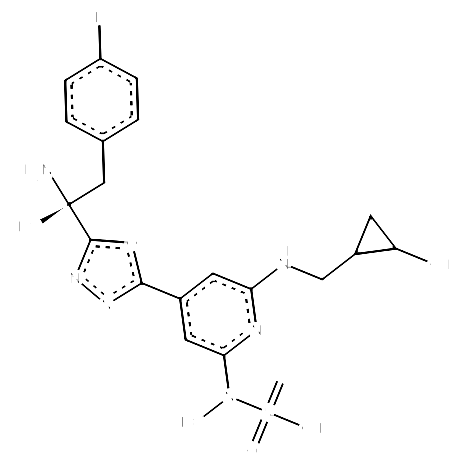 CC1CC1CNc1cc(-c2nnc([C@](C)(N)Cc3ccc(F)cc3)o2)cc(N(C)S(C)(=O)=O)n1